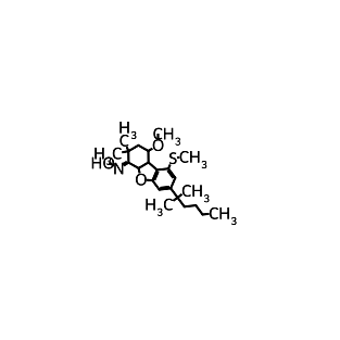 CCCCC(C)(C)c1cc2c(c(SC)c1)C1C(OC)CC(C)(C)C(=NO)C1O2